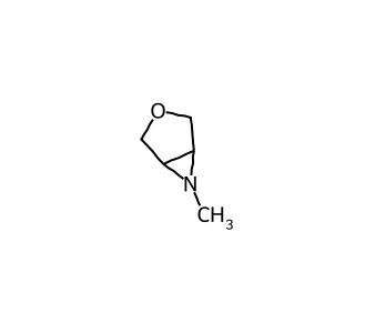 CN1C2COCC21